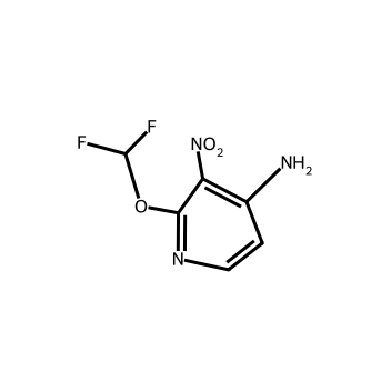 Nc1ccnc(OC(F)F)c1[N+](=O)[O-]